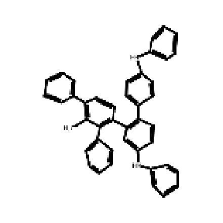 Cc1c(-c2ccccc2)ccc(-c2cc(Nc3ccccc3)ccc2-c2ccc(Nc3ccccc3)cc2)c1-c1ccccc1